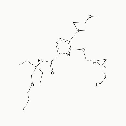 CCC(CC)(COCCF)NC(=O)c1ccc(N2CC(OC)C2)c(OC[C@@H]2C[C@@H]2CO)n1